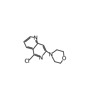 Clc1nc(N2CCOCC2)cc2ncccc12